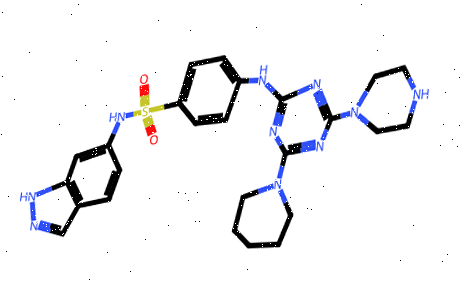 O=S(=O)(Nc1ccc2cn[nH]c2c1)c1ccc(Nc2nc(N3CCCCC3)nc(N3CCNCC3)n2)cc1